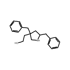 OCCC1(Cc2ccccc2)CNC(Cc2ccccc2)C1